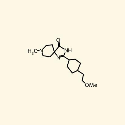 COCCC1CCC(C2=NC3(CCN(C)CC3)C(=O)N2)CC1